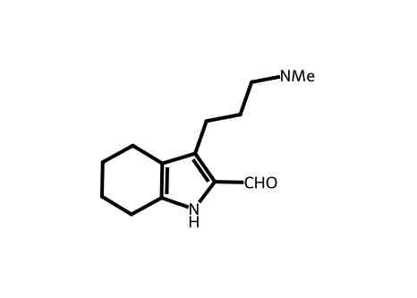 CNCCCc1c(C=O)[nH]c2c1CCCC2